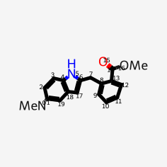 CNc1ccc2[nH]c(Cc3ccccc3C(=O)OC)cc2c1